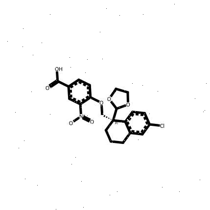 O=C(O)c1ccc(OC[C@@]2(C3OCCO3)CCCc3cc(Cl)ccc32)c([N+](=O)[O-])c1